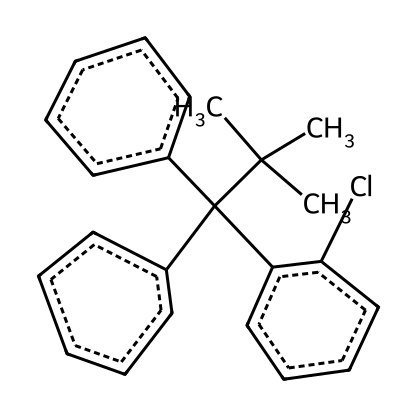 CC(C)(C)C(c1ccccc1)(c1ccccc1)c1ccccc1Cl